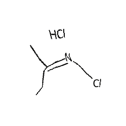 CC(C)=NCl.Cl